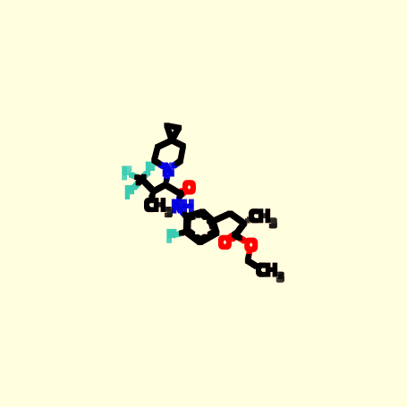 CCOC(=O)[C@@H](C)Cc1ccc(F)c(NC(=O)[C@@H]([C@@H](C)C(F)(F)F)N2CCC3(CC2)CC3)c1